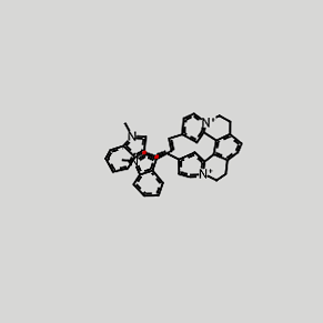 Cn1cc(/C=C/c2cc[n+]3c(c2)-c2c(ccc4c2-c2cc(/C=C/c5cn(C)c6ccccc56)cc[n+]2CC4)CC3)c2ccccc21